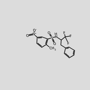 Cc1ccc([N+](=O)[O-])cc1S(=O)(=O)NC(Cc1ccccc1)C(F)(F)F